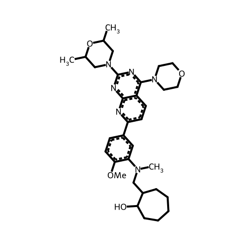 COc1ccc(-c2ccc3c(N4CCOCC4)nc(N4CC(C)OC(C)C4)nc3n2)cc1N(C)CC1CCCCCC1O